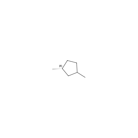 CC1CC[C@@H](C)C1